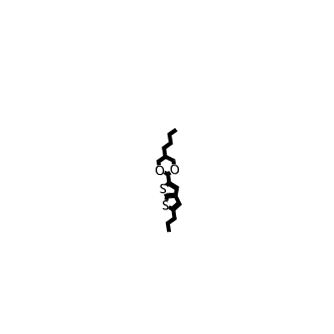 CCCCC1COC(c2cc3cc(CCC)sc3s2)OC1